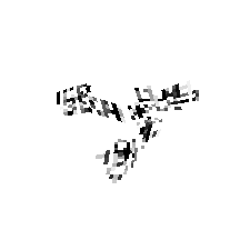 Nc1c(Cl)cc(C[C@@H](OC(=O)N2CCC(N3CCc4ccccc4NC3=O)CC2)C(=O)N2CCC(N3CCC(OC(=O)C(=O)O)CC3)CC2)cc1C(F)(F)F